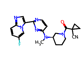 CN(c1ccnc(-c2cnc3ccc(F)cn23)n1)[C@@H]1CCCN(C(=O)C2(C#N)CC2)C1